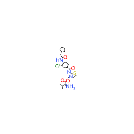 CC(C)[C@H](N)C(=O)OCn1ccsc1=NC(=O)c1ccc(NC(=O)CC2CCCC2)c(Cl)c1